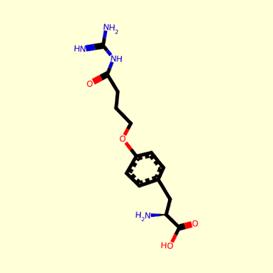 N=C(N)NC(=O)CCCOc1ccc(C[C@H](N)C(=O)O)cc1